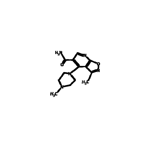 Cc1noc2ncc(C(N)=O)c(N3CCN(C)CC3)c12